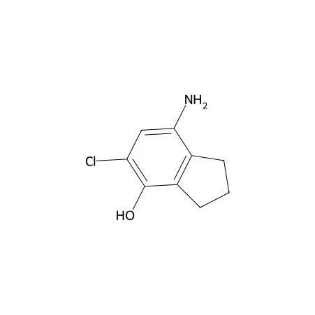 Nc1cc(Cl)c(O)c2c1CCC2